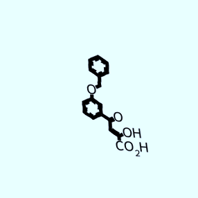 O=C(O)C(O)=CC(=O)c1cccc(OCc2ccccc2)c1